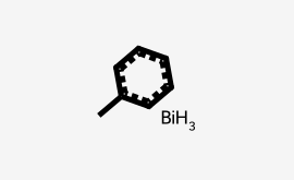 Cc1ccccc1.[BiH3]